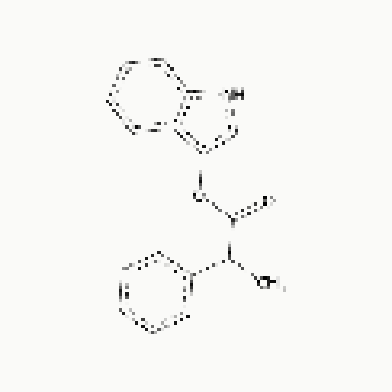 CC(C(=O)Oc1c[nH]c2ccccc12)c1ccccc1